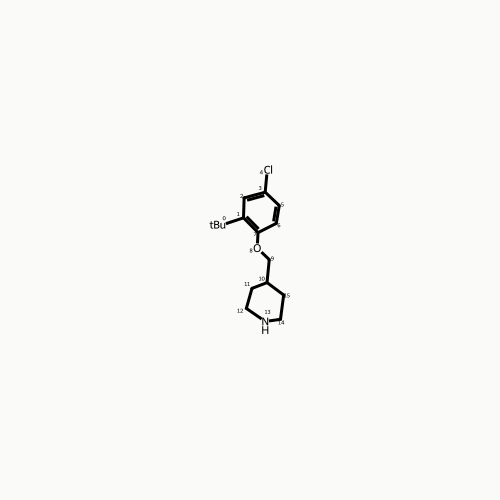 CC(C)(C)c1cc(Cl)ccc1OCC1CCNCC1